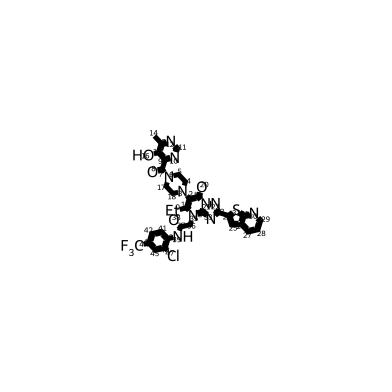 CCc1c(N2CCN(C(=O)c3ncnc(C)c3O)CC2)c(=O)n2nc(-c3cc4cccnc4s3)nc2n1CC(=O)Nc1ccc(C(F)(F)F)cc1Cl